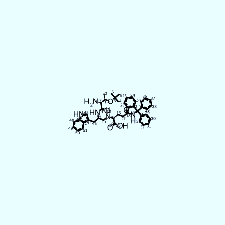 C[C@@H](OC(C)(C)C)[C@H](N)C(=O)NC(CN[C@@H](CCC(=O)NC(c1ccccc1)(c1ccccc1)c1ccccc1)C(=O)O)Cc1c[nH]c2ccccc12